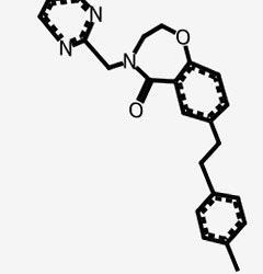 Cc1ccc(CCc2ccc3c(c2)C(=O)N(Cc2ncccn2)CCO3)cc1